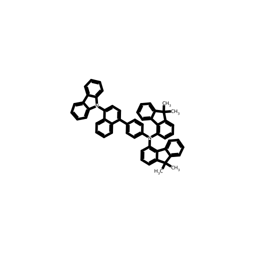 CC1(C)c2ccccc2-c2c(N(c3ccc(-c4ccc(-n5c6ccccc6c6ccccc65)c5ccccc45)cc3)c3cccc4c3-c3ccccc3C4(C)C)cccc21